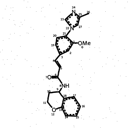 COc1cc(C=CC(=O)NC2CCOc3ccccc32)ccc1-n1cnc(C)c1